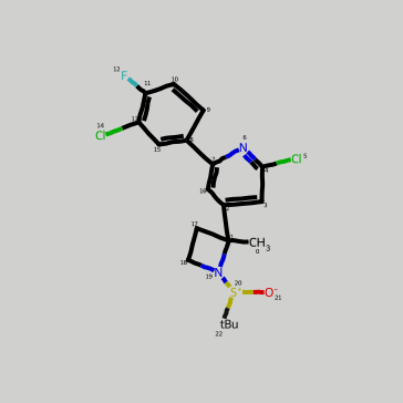 CC1(c2cc(Cl)nc(-c3ccc(F)c(Cl)c3)c2)CCN1[S+]([O-])C(C)(C)C